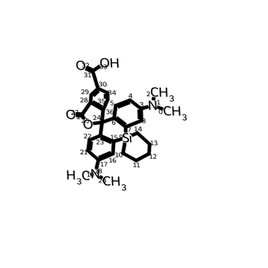 CN(C)c1ccc2c(c1)[Si]1(CCCCC1)c1cc(N(C)C)ccc1C21OC(=O)c2cc(C(=O)O)ccc21